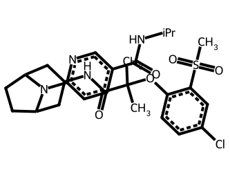 CC(C)NC(=O)c1ccc(N2C3CCC2CC(NC(=O)C(C)(C)Oc2ccc(Cl)cc2S(C)(=O)=O)C3)nc1